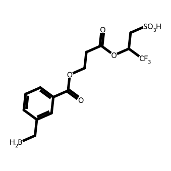 BCc1cccc(C(=O)OCCC(=O)OC(CS(=O)(=O)O)C(F)(F)F)c1